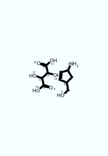 NC1C=CC(CO)C1.O=C(O)C(O)C(O)C(=O)O